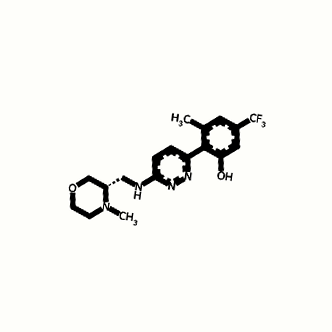 Cc1cc(C(F)(F)F)cc(O)c1-c1ccc(NC[C@H]2COCCN2C)nn1